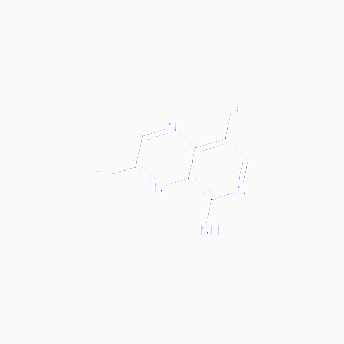 CCc1nc2c(Br)cnc(N)c2nc1CC